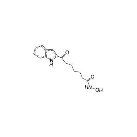 O=C(CCCCCC(=O)c1cc2ccccc2[nH]1)NO